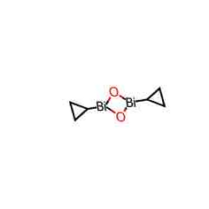 C1C[CH]1[Bi]1[O][Bi]([CH]2CC2)[O]1